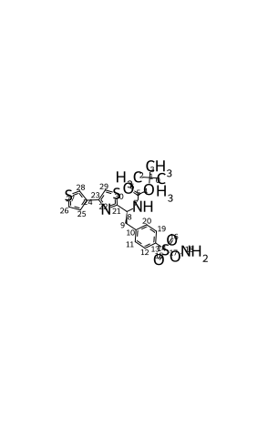 CC(C)(C)OC(=O)N[C@@H](Cc1ccc(S(=O)(=O)ON)cc1)c1nc(-c2ccsc2)cs1